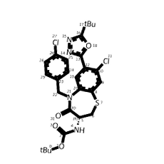 CC(C)(C)OC(=O)N[C@H]1CSc2cc(Cl)c(-c3nnc(C(C)(C)C)o3)cc2N(Cc2ccc(Cl)cc2)C1=O